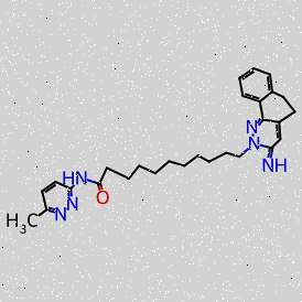 Cc1ccc(NC(=O)CCCCCCCCCCn2nc3c(cc2=N)CCc2ccccc2-3)nn1